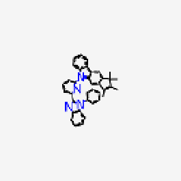 CC1=C(C)C(C)(C)c2cc3c4ccccc4n(-c4cccc(-c5nc6ccccc6n5-c5ccccc5)n4)c3cc21